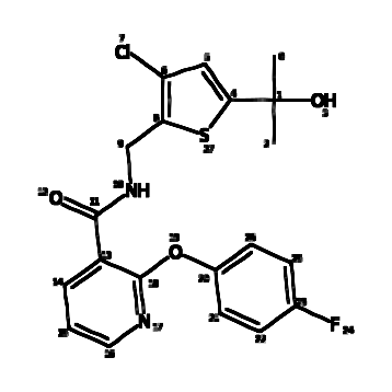 CC(C)(O)c1cc(Cl)c(CNC(=O)c2cccnc2Oc2ccc(F)cc2)s1